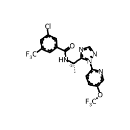 C[C@H](NC(=O)c1cc(Cl)cc(C(F)(F)F)c1)c1ncnn1-c1ccc(OC(F)(F)F)cn1